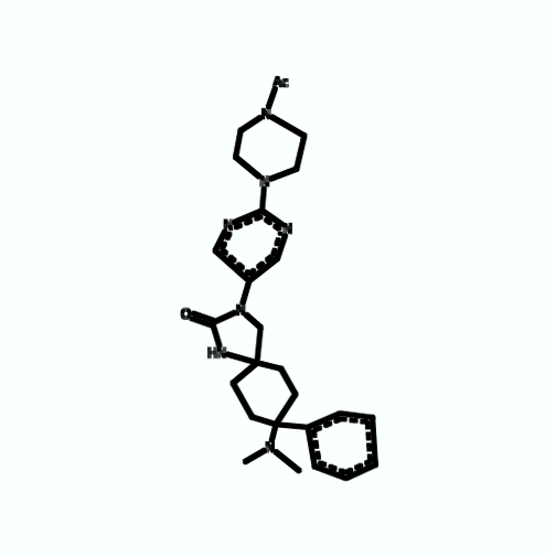 CC(=O)N1CCN(c2ncc(N3CC4(CCC(c5ccccc5)(N(C)C)CC4)NC3=O)cn2)CC1